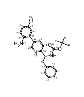 CC(C)(C)OC(=O)NC(Cc1ccccc1)c1ccc(-c2cc(Cl)ccc2N)cn1